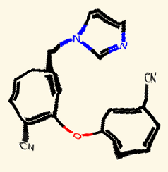 N#Cc1cccc(Oc2cc(Cn3ccnc3)ccc2C#N)c1